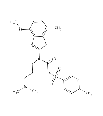 COc1ccc(C)c2sc(N(CCCN(C)C)C(=O)CS(=O)(=O)c3ccc(C)cc3)nc12